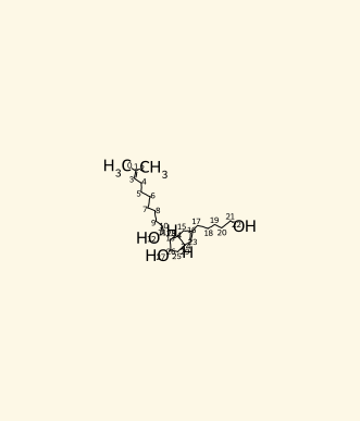 CC(C)=CCCCCCCC=C(O)[C@@H]1[C@@H]2CC(CCCCCO)=C[C@@H]2C[C@H]1O